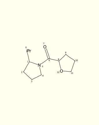 CC(C)C1CCCN1C(=O)C1CCCO1